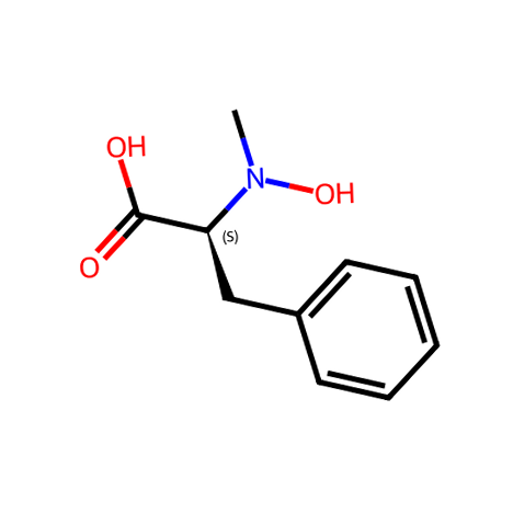 CN(O)[C@@H](Cc1ccccc1)C(=O)O